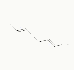 CCCCCC/C=C/P[PH3]/C=C/CCCCCC